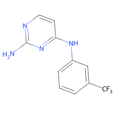 Nc1nccc(Nc2cccc(C(F)(F)F)c2)n1